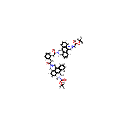 CN(Cc1c2ccccc2c(CNCC(=O)OC(C)(C)C)c2ccccc12)C(=O)Cc1ccccc1CC(=O)N(C)Cc1c2ccccc2c(CN(C)C(=O)OC(C)(C)C)c2ccccc12